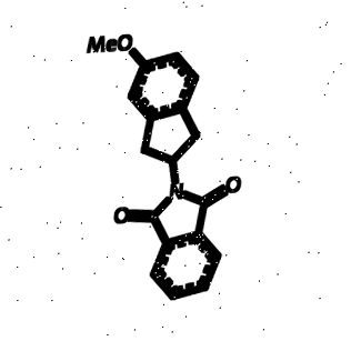 COc1ccc2c(c1)CC(N1C(=O)c3ccccc3C1=O)C2